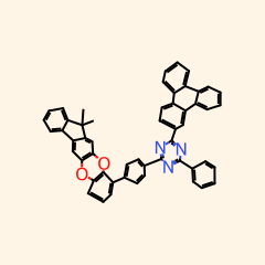 CC1(C)c2ccccc2-c2cc3c(cc21)Oc1c(cccc1-c1ccc(-c2nc(-c4ccccc4)nc(-c4ccc5c6ccccc6c6ccccc6c5c4)n2)cc1)O3